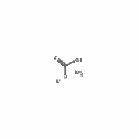 O=C([O-])O.[H-].[K+].[Na+]